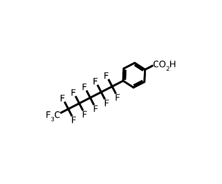 O=C(O)c1ccc(C(F)(F)C(F)(F)C(F)(F)C(F)(F)C(F)(F)C(F)(F)F)cc1